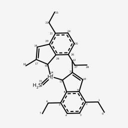 CCc1ccc(CC)c2c1C=C(C)[CH]2[Hf](=[SiH2])[CH]1C(C)=Cc2c(CC)ccc(CC)c21